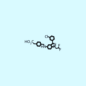 O=C(O)Cc1ccc(CNc2ccc3c(c2)c(-c2cccc(Cl)c2)nn3CC(F)F)cc1